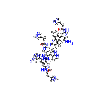 Cc1c(-c2cc(NCc3ccnc(N4CCC(c5cnc(-c6ccccc6)c(-c6cc(N)c7cnc(NC(=O)[C@H]8C[C@@H]8c8cnn(C)c8)cc7c6)c5C)CC4)c3-c3cc(N)c4cnc(NC(=O)[C@H]5C[C@@H]5c5cnn(C)c5)cc4c3)c3cnc(NC(=O)[C@H]4C[C@@H]4c4cnn(C)c4)cc3c2)ccnc1N